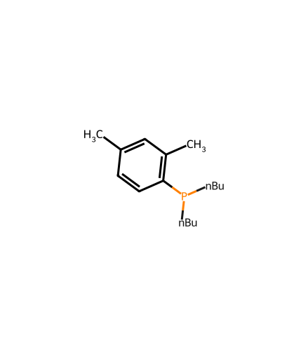 CCCCP(CCCC)c1ccc(C)cc1C